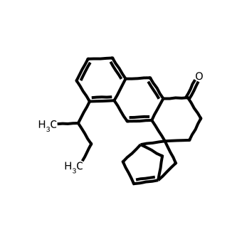 CCC(C)c1cccc2cc3c(cc12)C1(CCC3=O)CC2=CCC1C2